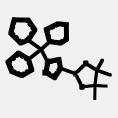 CC1(C)OP(c2cnn(C(c3ccccc3)(c3ccccc3)c3ccccc3)c2)OC1(C)C